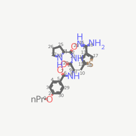 CCCOc1ccc(C(=O)N[C@@H](Cc2cc(C(=N)N)cs2)C(=O)NC(=O)[C@@H]2CCCN2)cc1